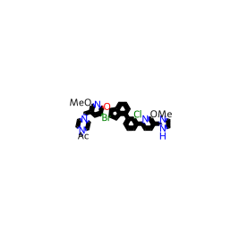 COc1nc(O[C@H]2CCc3c(-c4cccc(-c5ccc(C6=NCCN6)c(OC)n5)c4Cl)cccc32)c(Br)cc1CN1CCN(C(C)=O)CC1